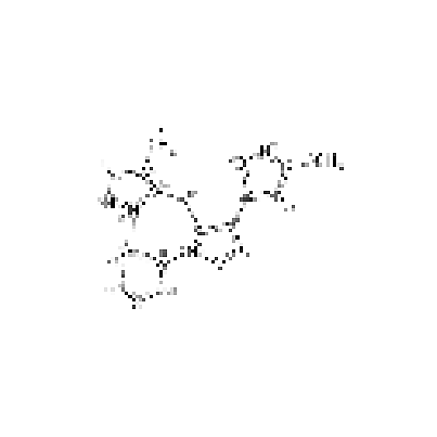 Cc1noc(-c2ccn3c2Cc2c(C)nnn2-c2ccccc2-3)n1